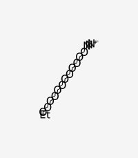 CCOCCOCCOCCOCCOCCOCCOCCOCCOCCOCCOCCOCCN=[N+]=[N-]